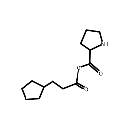 O=C(CCC1CCCC1)OC(=O)C1CCCN1